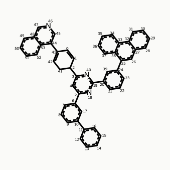 C1=CC(c2cc(-c3cccc(-c4ccccc4)c3)nc(-c3cccc(-c4cc5ccccc5c5ccccc45)c3)n2)CC=C1c1cncc2ccccc12